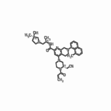 C=CC(=O)N1CCN(c2cc(C(=O)N[C@H](C)CN3CC[C@@](C)(O)C3)nc3c2CCN(c2cccc4cccc(C)c24)C3)C[C@@H]1CC#N